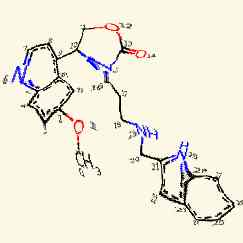 COc1ccc2nccc(C3COC(=O)N3CCCNCc3cc4ccccc4[nH]3)c2c1